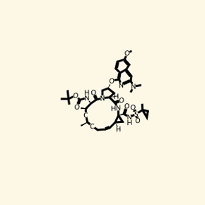 COc1ccc2c(O[C@@H]3C[C@H]4C(=O)N[C@]5(C(=O)NS(=O)(=O)C6(C)CC6)C[C@H]5/C=C\CC[C@@H](C)C[C@@H](C)[C@H](NC(=O)OC(C)(C)C)C(=O)N4C3)nc(N(C)C)cc2c1